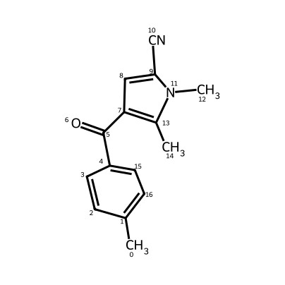 Cc1ccc(C(=O)c2cc(C#N)n(C)c2C)cc1